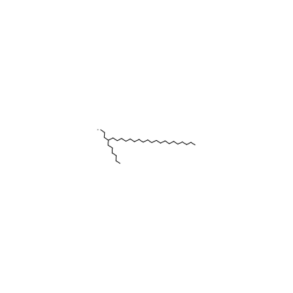 [CH2]CCC(CCCCCC)CCCCCCCCCCCCCCCCCCCC